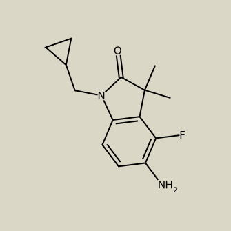 CC1(C)C(=O)N(CC2CC2)c2ccc(N)c(F)c21